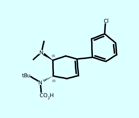 CN(C)[C@H]1CC(c2cccc(Cl)c2)=CC[C@@H]1N(C(=O)O)C(C)(C)C